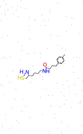 Cc1ccc(CCCC(=O)NCCCCC(N)CS)cc1